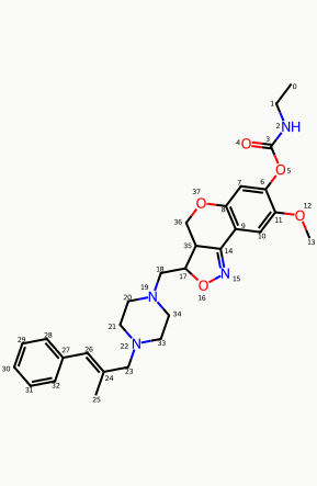 CCNC(=O)Oc1cc2c(cc1OC)C1=NOC(CN3CCN(CC(C)=Cc4ccccc4)CC3)C1CO2